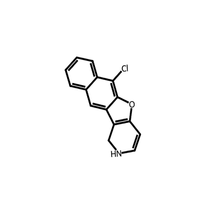 Clc1c2ccccc2cc2c3c(oc12)C=CNC3